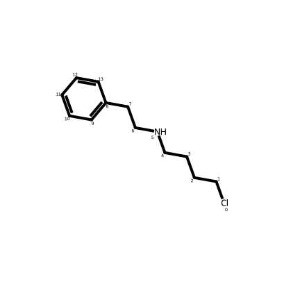 ClCCCCNCCc1ccccc1